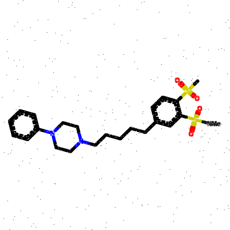 CNS(=O)(=O)c1cc(CCCCCN2CCN(c3ccccc3)CC2)ccc1S(C)(=O)=O